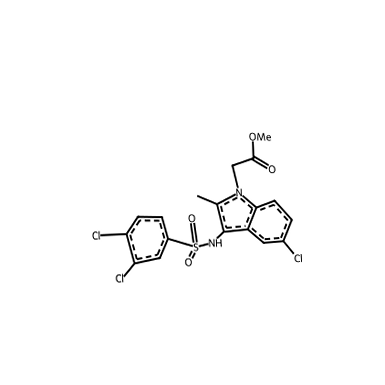 COC(=O)Cn1c(C)c(NS(=O)(=O)c2ccc(Cl)c(Cl)c2)c2cc(Cl)ccc21